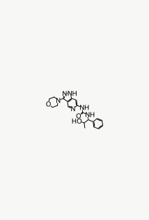 CC(O)[C@@H](NC(=O)Nc1cc2[nH]nc(N3CCOCC3)c2cn1)c1ccccc1